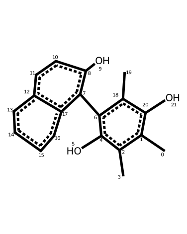 Cc1c(C)c(O)c(-c2c(O)ccc3ccccc23)c(C)c1O